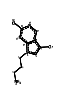 NCCCn1cc(Cl)c2cnc(Cl)nc21